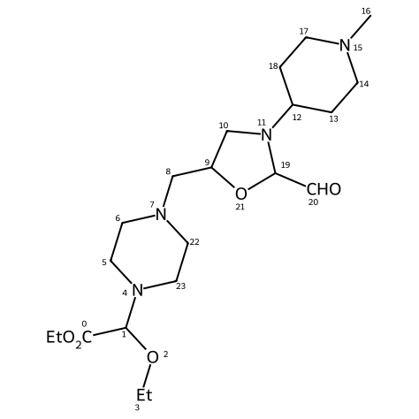 CCOC(=O)C(OCC)N1CCN(CC2CN(C3CCN(C)CC3)C(C=O)O2)CC1